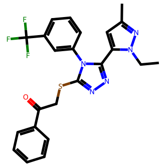 CCn1nc(C)cc1-c1nnc(SCC(=O)c2ccccc2)n1-c1cccc(C(F)(F)F)c1